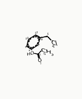 CC(=O)O.ClCc1ccccc1